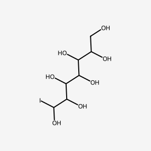 OCC(O)C(O)C(O)C(O)C(O)C(O)I